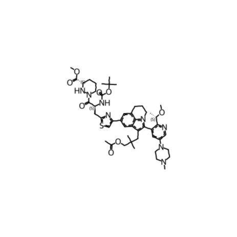 COC(=O)[C@@H]1CCCN(C(=O)[C@H](Cc2nc(-c3cc4c5c(c3)c(CC(C)(C)COC(C)=O)c(-c3cc(N6CCN(C)CC6)cnc3[C@H](C)OC)n5CCC4)cs2)NC(=O)OC(C)(C)C)N1